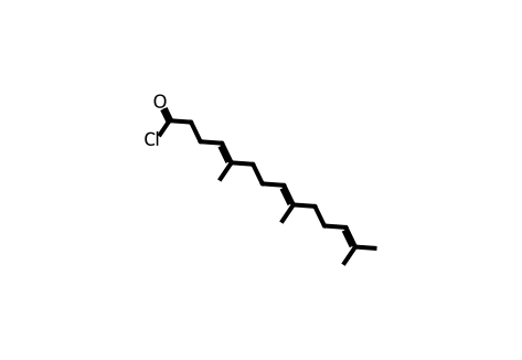 CC(C)=CCC/C(C)=C/CC/C(C)=C/CCC(=O)Cl